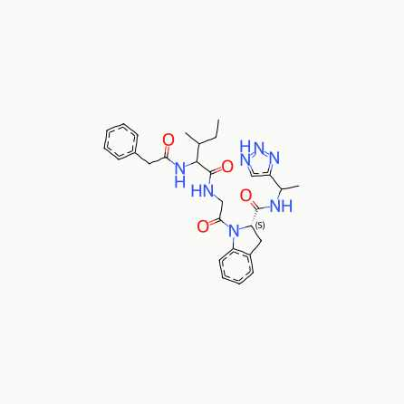 CCC(C)C(NC(=O)Cc1ccccc1)C(=O)NCC(=O)N1c2ccccc2C[C@H]1C(=O)NC(C)c1c[nH]nn1